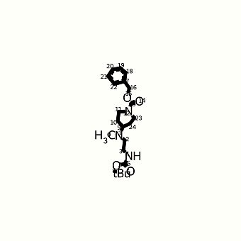 CN(CCNC(=O)OC(C)(C)C)C1CCN(C(=O)OCc2ccccc2)CC1